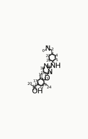 C/N=C\c1ccc(Nc2nccc(Oc3c(C)cc(C(C)O)cc3C)n2)cc1